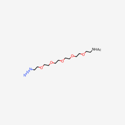 CC(=O)NCCOCCOCCOCCOCCOCCN=[N+]=[N-]